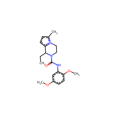 CCC1c2ccc(C)n2CCN1C(=O)Nc1cc(OC)ccc1OC